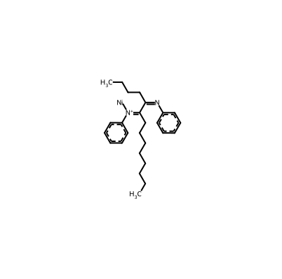 CCCCCCCCC(C(CCCC)=Nc1ccccc1)=[N+]([Ni])c1ccccc1